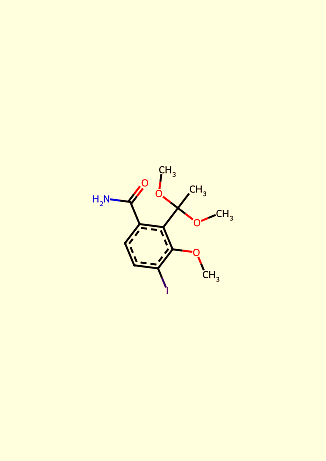 COc1c(I)ccc(C(N)=O)c1C(C)(OC)OC